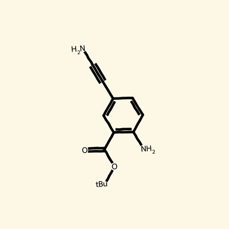 CC(C)(C)OC(=O)c1cc(C#CN)ccc1N